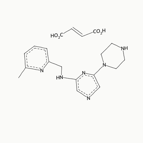 Cc1cccc(CNc2cncc(N3CCNCC3)n2)n1.O=C(O)C=CC(=O)O